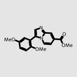 COC(=O)c1ccn2c(-c3cc(OC)ccc3OC)cnc2c1